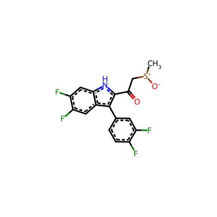 C[S+]([O-])CC(=O)c1[nH]c2cc(F)c(F)cc2c1-c1ccc(F)c(F)c1